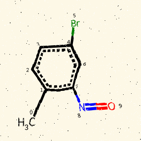 Cc1ccc(Br)cc1N=O